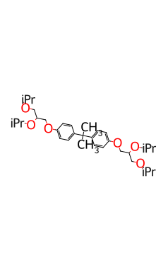 CC(C)OCC(COc1ccc(C(C)(C)c2ccc(OCC(COC(C)C)OC(C)C)cc2)cc1)OC(C)C